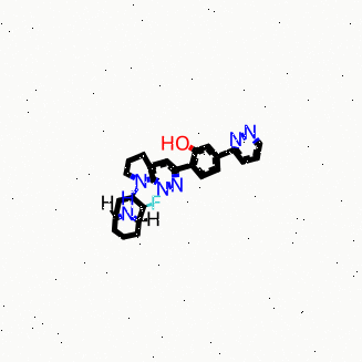 Oc1cc(-c2cccnn2)ccc1-c1cc2c(nn1)N([C@@H]1C[C@H]3CCC[C@H](N3)[C@@H]1F)CCC2